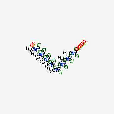 CC[n+]1ccc(Cl)c2ccc(Cl)cc21.CC[n+]1ccc(Cl)c2ccc(Cl)cc21.CC[n+]1ccc(Cl)c2ccc(Cl)cc21.CC[n+]1ccc(Cl)c2ccc(Cl)cc21.CC[n+]1ccc(Cl)c2ccc(Cl)cc21.CC[n+]1ccc(Cl)c2ccc(Cl)cc21.CC[n+]1ccc(Cl)c2ccc(Cl)cc21.CC[n+]1ccc(Cl)c2ccc(Cl)cc21.[O-]B([O-])F.[O-]B([O-])F.[O-]B([O-])F.[O-]B([O-])F